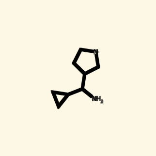 NC(C1CC1)C1CC[N]C1